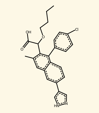 CCCCOC(C(=O)O)c1c(C)cc2cc(-c3cn[nH]c3)ccc2c1-c1ccc(Cl)cc1